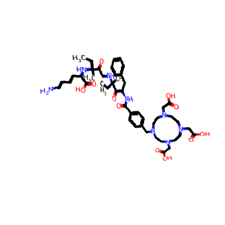 CCC(C)(NC(CCCCN)C(=O)O)C(=O)CNC(C)(CC)C(=O)C(Cc1ccccc1)NC(=O)c1ccc(CN2CCN(CC(=O)O)CCN(CC(=O)O)CCN(CC(=O)O)CC2)cc1